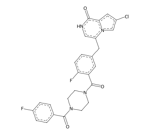 O=C(c1ccc(F)cc1)N1CCN(C(=O)c2cc(Cc3c[nH]c(=O)c4cc(Cl)cn34)ccc2F)CC1